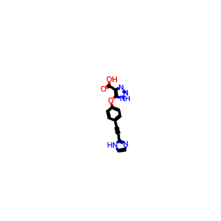 O=C(O)c1nn[nH]c1Oc1ccc(C#Cc2ncc[nH]2)cc1